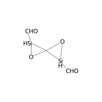 O=C[SiH]1OC12O[SiH]2C=O